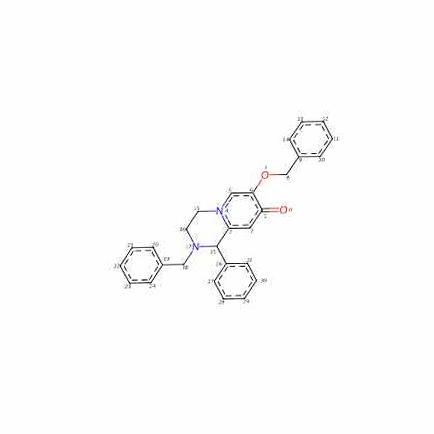 O=c1cc2n(cc1OCc1ccccc1)CCN(Cc1ccccc1)C2c1ccccc1